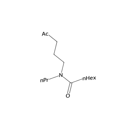 CCCCCCC(=O)N(CCC)CCCC(C)=O